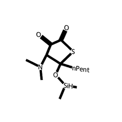 CCCCCC1(O[SiH](C)C)SC(=O)C(=O)C1N(C)C